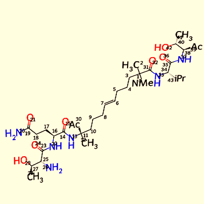 CNC(C)(CCC/C=C/CCC[C@](C)(NC(=O)[C@H](CCC(N)=O)NC(=O)[C@H](N)[C@@H](C)O)C(C)=O)C(=O)N[C@H](C(=O)N[C@H](C(C)=O)[C@@H](C)O)C(C)C